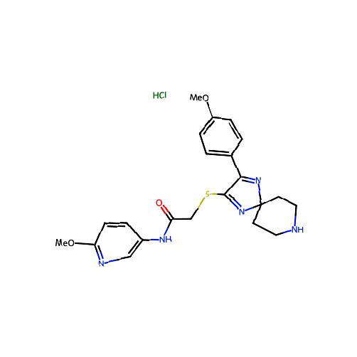 COc1ccc(C2=NC3(CCNCC3)N=C2SCC(=O)Nc2ccc(OC)nc2)cc1.Cl